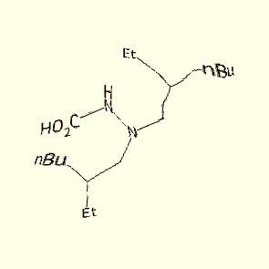 CCCCC(CC)CN(CC(CC)CCCC)NC(=O)O